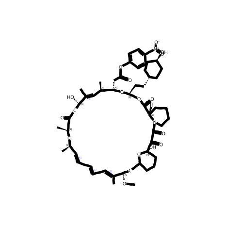 CO[C@H]1CC2CCC[C@@](O)(O2)C(=O)C(=O)N2CCCC[C@H]2C(=O)O[C@H](CC[C@H]2CC[C@H](O)CC2)C[C@@H](CC(=O)Oc2ccc([N+](=O)[O-])cc2)[C@H](C)/C=C(\C)[C@@H](O)CC(=O)[C@H](C)C[C@H](C)/C=C/C=C/C=C/1C